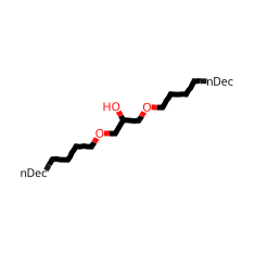 CCCCCCCCCCCCCCOCC(O)COCCCCCCCCCCCCCC